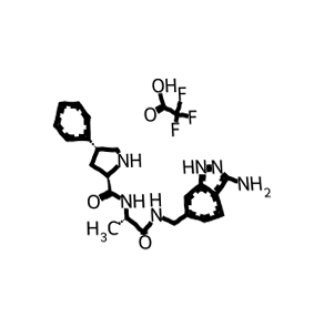 C[C@H](NC(=O)[C@H]1C[C@H](c2ccccc2)CN1)C(=O)NCc1ccc2c(N)n[nH]c2c1.O=C(O)C(F)(F)F